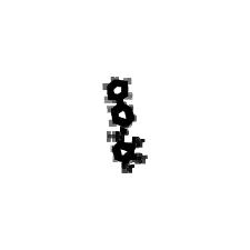 Brc1ccc(NCc2ccc(C3CCCCC3)cc2)c(Br)c1Br